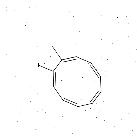 Cc1ccccccccc1I